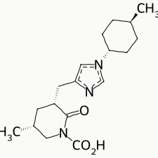 C[C@@H]1C[C@H](Cc2cn([C@H]3CC[C@H](C)CC3)cn2)C(=O)N(C(=O)O)C1